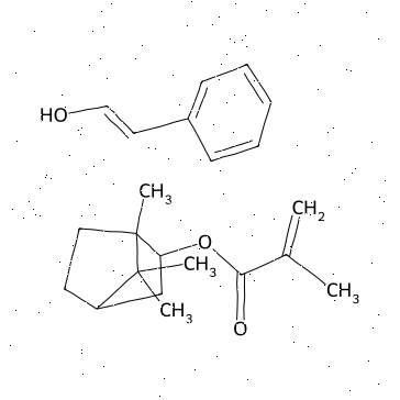 C=C(C)C(=O)OC1CC2CCC1(C)C2(C)C.OC=Cc1ccccc1